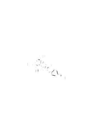 CSc1ccc(NC(=O)C2(C)CCN(C(=O)O)C(C(C)(C)C)C2)cc1